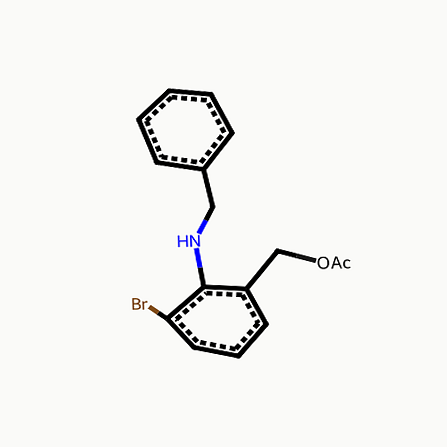 CC(=O)OCc1cccc(Br)c1NCc1ccccc1